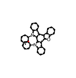 c1ccc(-n2c3ccccc3c3c4oc5ccccc5c4c4c5ccccc5n(-c5cccnc5)c4c32)cc1